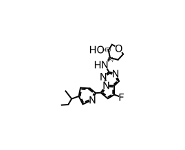 CCC(C)c1ccc(-c2cc(F)c3cnc(N[C@@H]4CCOC[C@H]4O)nn23)nc1